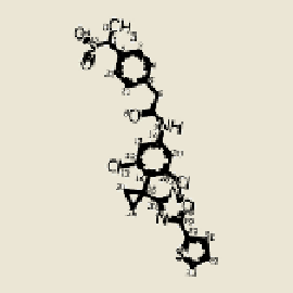 CC(c1ccc(CC(=O)Nc2cc(Cl)c(C3(c4noc(-c5cccs5)n4)CC3)c(Cl)c2)cc1)[SH](=O)=O